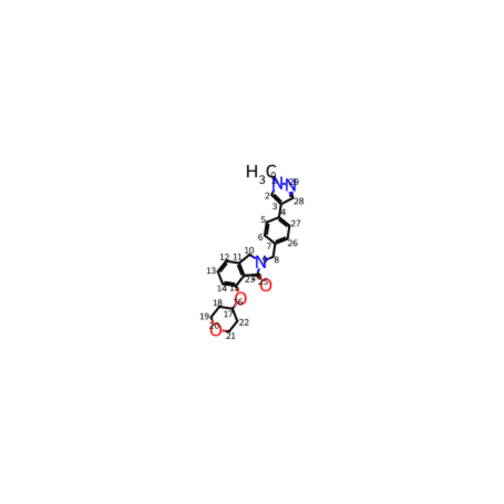 Cn1cc(-c2ccc(CN3Cc4cccc(OC5CCOCC5)c4C3=O)cc2)cn1